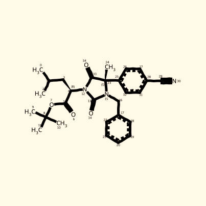 CC(C)C[C@H](C(=O)OC(C)(C)C)N1C(=O)N(Cc2ccccc2)[C@@](C)(c2ccc(C#N)cc2)C1=O